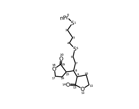 CCCSCCCSCCC(C1CCOC1=O)C1CCOC1=O